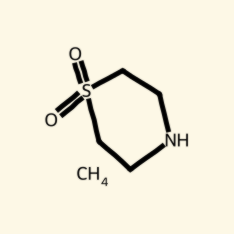 C.O=S1(=O)CCNCC1